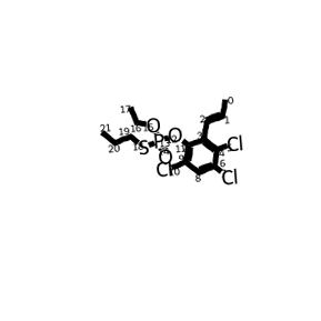 CC=Cc1c(Cl)c(Cl)cc(Cl)c1OP(=O)(OCC)SCCC